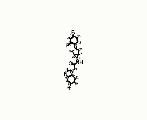 O=C(Cn1cnc2cc(F)ccc21)NC1C2CN(c3ccc(F)cc3F)CC21